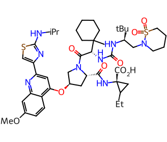 CCC1C[C@]1(NC(=O)[C@@H]1C[C@@H](Oc2cc(-c3csc(NC(C)C)n3)nc3cc(OC)ccc23)CN1C(=O)[C@@H](NC(=O)N[C@H](CN1CCCCS1(=O)=O)C(C)(C)C)C1(C)CCCCC1)C(=O)O